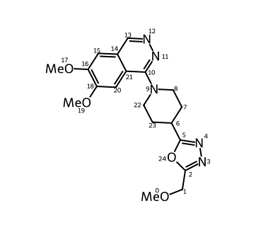 COCc1nnc(C2CCN(c3nncc4cc(OC)c(OC)cc34)CC2)o1